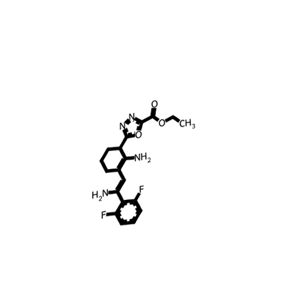 CCOC(=O)c1nnc(C2CCCC(/C=C(\N)c3c(F)cccc3F)=C2N)o1